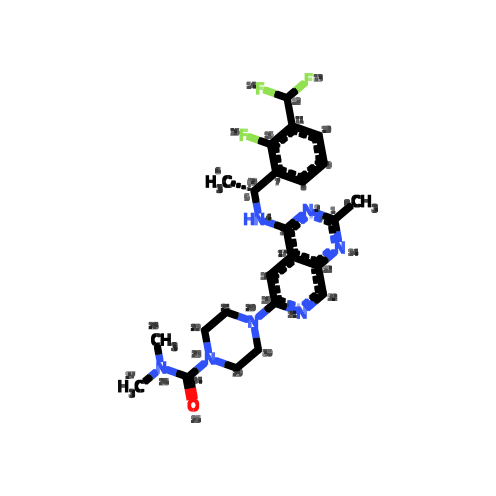 Cc1nc(N[C@H](C)c2cccc(C(F)F)c2F)c2cc(N3CCN(C(=O)N(C)C)CC3)ncc2n1